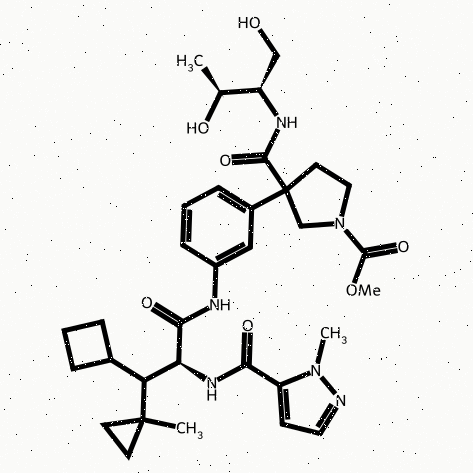 COC(=O)N1CCC(C(=O)N[C@H](CO)[C@H](C)O)(c2cccc(NC(=O)[C@@H](NC(=O)c3ccnn3C)C(C3CCC3)C3(C)CC3)c2)C1